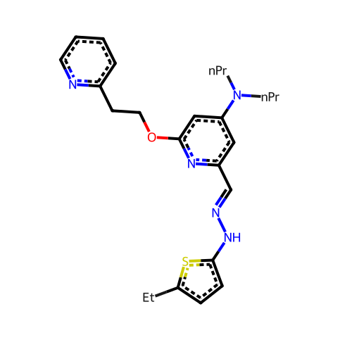 CCCN(CCC)c1cc(/C=N/Nc2ccc(CC)s2)nc(OCCc2ccccn2)c1